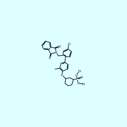 CCOP(=O)(OCC)C1CCCC(Oc2ccc(-c3ccc(Cl)cc3CN3C(=O)c4ccccc4C3=O)nc2C)C1